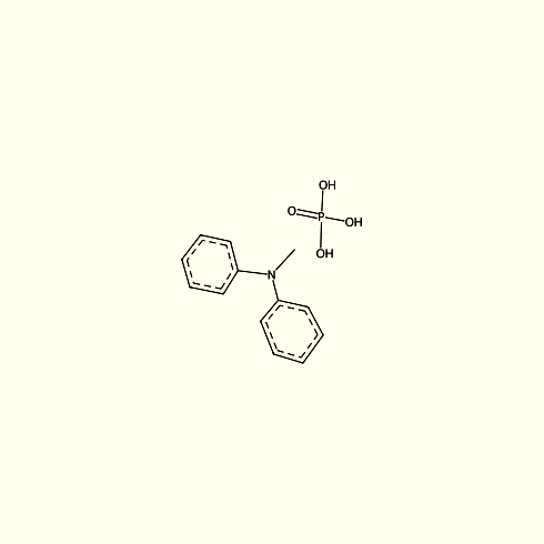 CN(c1ccccc1)c1ccccc1.O=P(O)(O)O